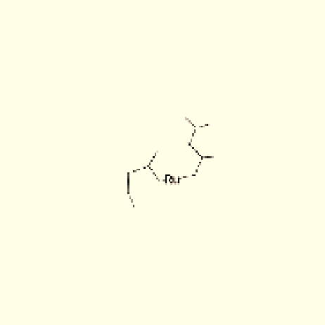 CC(C)CC(C)[CH2][Ru][CH2]C(C)CC(C)C